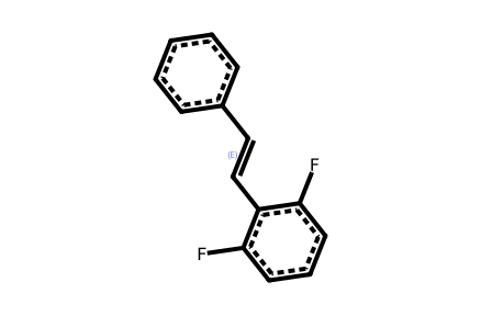 Fc1cccc(F)c1/C=C/c1ccccc1